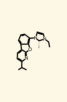 CCN1C=CN(c2cccc3c2oc2nc(C(C)C)ccc23)[C@H]1C